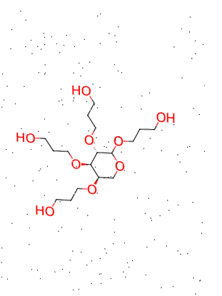 OCCCOC1OC[C@@H](OCCCO)[C@@H](OCCCO)[C@@H]1OCCCO